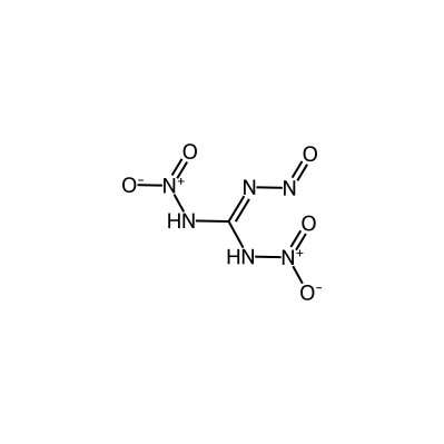 O=NN=C(N[N+](=O)[O-])N[N+](=O)[O-]